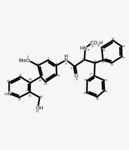 COc1cc(NC(=O)C(NC(=O)O)C(c2ccccc2)c2ccccc2)ccc1-c1ccncc1CO